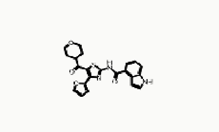 O=C(Nc1nc(-c2ccco2)c(C(=O)C2CCOCC2)s1)c1cccc2[nH]ccc12